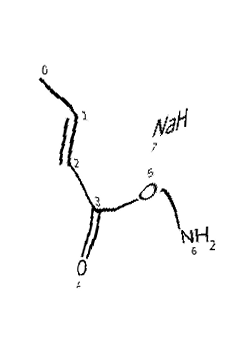 CC=CC(=O)ON.[NaH]